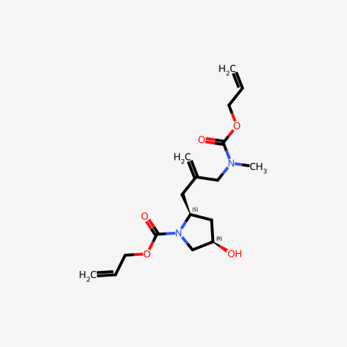 C=CCOC(=O)N(C)CC(=C)C[C@H]1C[C@@H](O)CN1C(=O)OCC=C